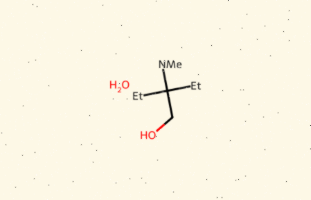 CCC(CC)(CO)NC.O